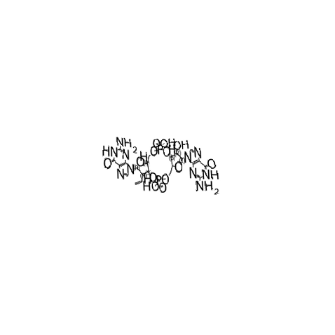 C=C[C@@H]1[C@@H]2OP(=O)(O)OCC3O[C@@H](n4cnc5c(=O)[nH]c(N)nc54)[C@H](O)[C@@H]3OP(=O)(O)OC[C@H]2O[C@H]1n1cnc2c(=O)[nH]c(N)nc21